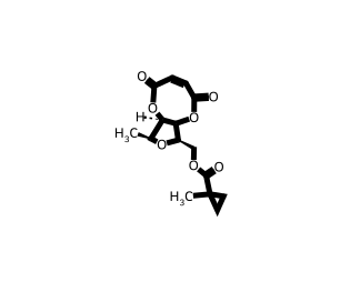 C[C@@H]1O[C@H](COC(=O)C2(C)CC2)C2OC(=O)/C=C\C(=O)O[C@@H]21